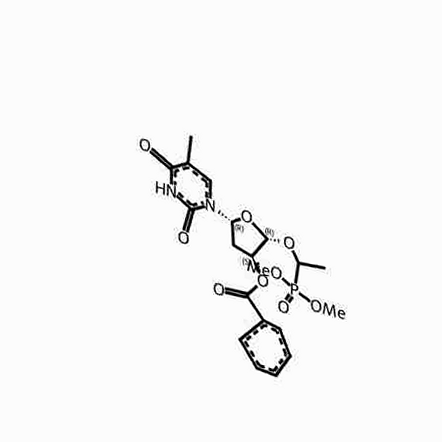 COP(=O)(OC)C(C)O[C@H]1O[C@@H](n2cc(C)c(=O)[nH]c2=O)C[C@@H]1OC(=O)c1ccccc1